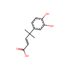 CC(C)(C=CC(=O)O)c1ccc(O)c(O)c1